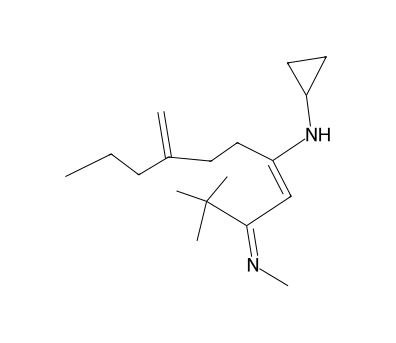 C=C(CCC)CC/C(=C\C(=N/C)C(C)(C)C)NC1CC1